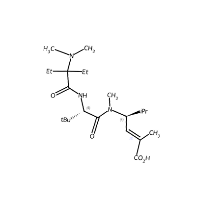 CCC(CC)(C(=O)N[C@H](C(=O)N(C)[C@H](/C=C(\C)C(=O)O)C(C)C)C(C)(C)C)N(C)C